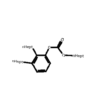 CCCCCCCOC(=O)Oc1cccc(CCCCCCC)c1CCCCCCC